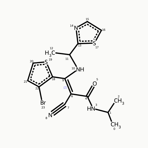 CC(C)NC(=O)/C(C#N)=C(\NC(C)c1nccs1)c1sccc1Br